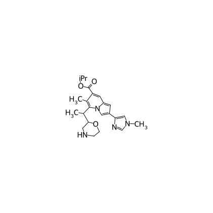 Cc1c(C(=O)OC(C)C)cc2cc(-c3cn(C)cn3)cn2c1C(C)C1CNCCO1